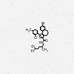 CCC(CC)CCC(C)CNC(=O)c1nn(C2=CCC(C)C=C2Cl)c2c1CCCc1cc(Br)ccc1-2